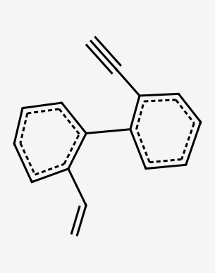 C#Cc1ccccc1-c1ccccc1C=C